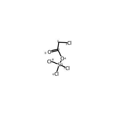 O=C(CCl)O[Si](Cl)(Cl)Cl